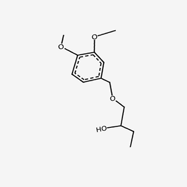 CCC(O)COCc1ccc(OC)c(OC)c1